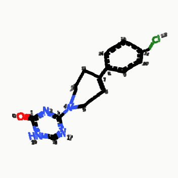 O=c1nc(N2CC=C(c3ccc(Cl)cc3)CC2)nc[nH]1